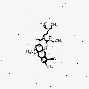 CCNC(=O)N(CCN(CC)CC)C(=O)[C@@H]1C[C@@H]2Cc3c(sc(N)c3C#N)C[C@H]2N(C)C1